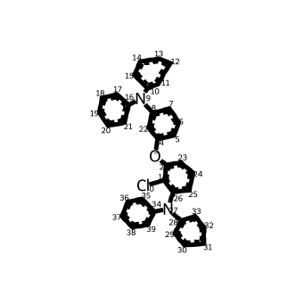 Clc1c(Oc2cccc(N(c3ccccc3)c3ccccc3)c2)cccc1N(c1ccccc1)c1ccccc1